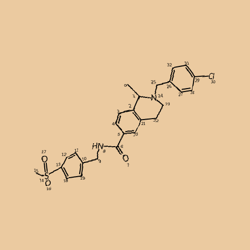 CC1c2ccc(C(=O)NCc3ccc(S(C)(=O)=O)cc3)cc2CCN1Cc1ccc(Cl)cc1